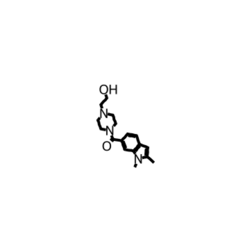 Cc1cc2ccc(C(=O)N3CCN(CCO)CC3)cc2n1C